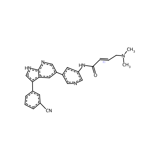 CN(C)C/C=C/C(=O)Nc1cncc(-c2cnc3[nH]cc(-c4cccc(C#N)c4)c3c2)c1